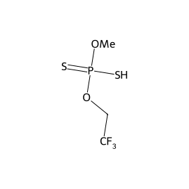 COP(=S)(S)OCC(F)(F)F